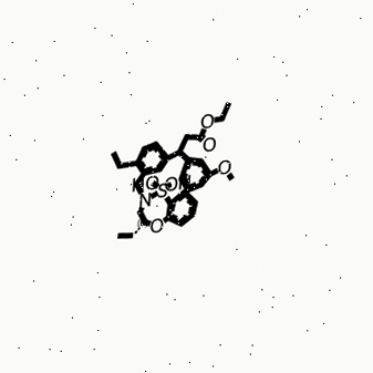 CCOC(=O)CC(c1cccc(OC)c1)c1ccc(CC)c(CN2C[C@@H](CC)Oc3ccccc3S2(O)O)c1